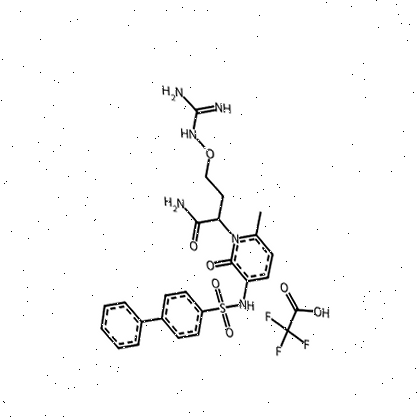 Cc1ccc(NS(=O)(=O)c2ccc(-c3ccccc3)cc2)c(=O)n1C(CCONC(=N)N)C(N)=O.O=C(O)C(F)(F)F